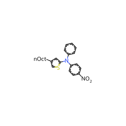 CCCCCCCCc1csc(N(c2ccccc2)c2ccc([N+](=O)[O-])cc2)c1